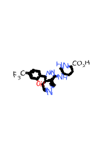 O=C(O)C1CCC(Nc2nnc(-c3ccc(C(F)(F)F)cc3O)c3ccncc23)CN1